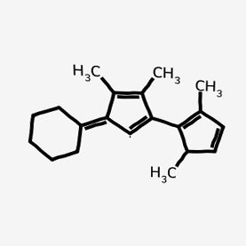 CC1=C(C2=[C]C(=C3CCCCC3)C(C)=C2C)C(C)C=C1